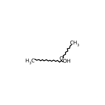 CCCCCCCCCCCCCCCC(CO)OCCCCCCCCCC